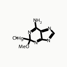 CO[C]1([Hg][Cl])N=C(N)C2=NC=NC2=N1